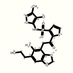 Cc1noc(NS(=O)(=O)c2ccsc2C(=O)Cc2c(C)c(CCO)cc3c2OCO3)c1Cl